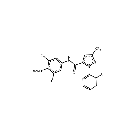 CC(=O)Nc1c(Cl)cc(NC(=O)c2cc(C(F)(F)F)nn2C2=CC=CCC2Cl)cc1Cl